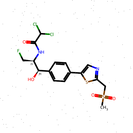 CS(=O)(=O)Cc1ncc(-c2ccc([C@@H](O)[C@@H](CF)NC(=O)C(Cl)Cl)cc2)s1